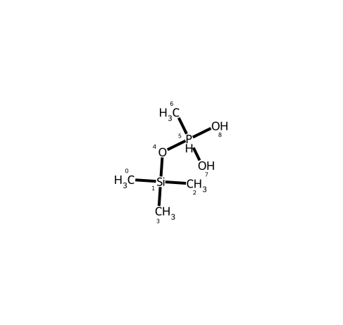 C[Si](C)(C)O[PH](C)(O)O